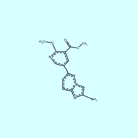 COC(=O)c1cc(-c2ccc3nc(N)cn3n2)cnc1OC